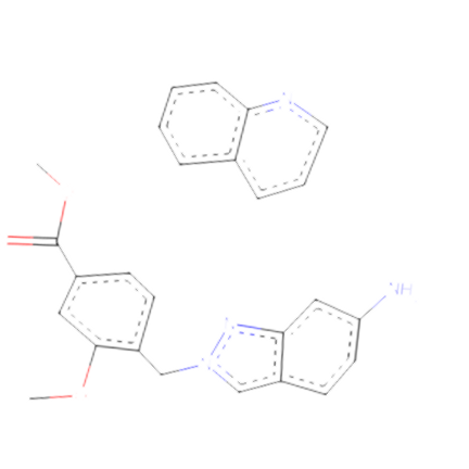 COC(=O)c1ccc(Cn2cc3ccc(N)cc3n2)c(OC)c1.c1ccc2ncccc2c1